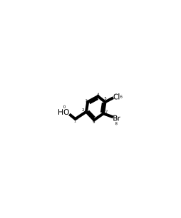 O[CH]c1ccc(Cl)c(Br)c1